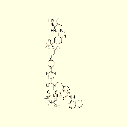 Cc1[nH]nc(Nc2ncnc3cc(OCCCN4CCN(c5ncc(C(=O)N6CCC7CC[C@@H](C(=O)Nc8cccc9c8CCCC9)N7C(=O)[C@@H](NC(=O)[C@H](C)N(C)C(=O)OC(C)(C)C)C6)cn5)CC4)c(S(=O)(=O)C(C)(C)C)cc23)c1C